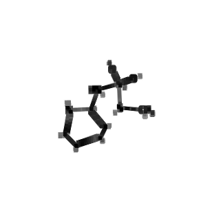 CSS(=O)(=O)Nc1ccccn1